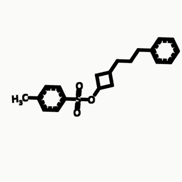 Cc1ccc(S(=O)(=O)OC2CC(CCCc3ccccc3)C2)cc1